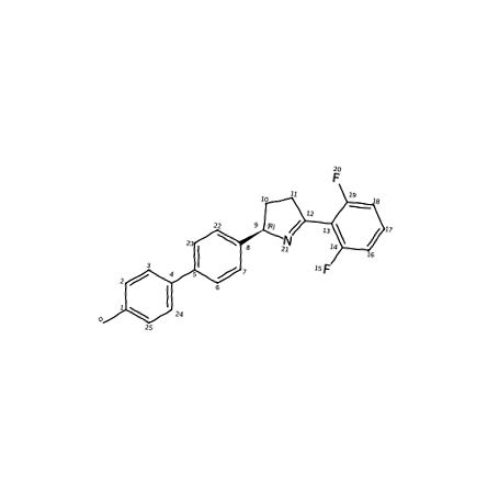 Cc1ccc(-c2ccc([C@H]3CCC(c4c(F)cccc4F)=N3)cc2)cc1